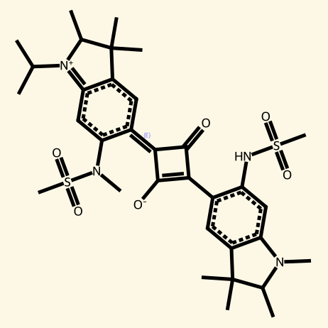 CC(C)[N+]1=c2cc(N(C)S(C)(=O)=O)/c(=C3/C(=O)C(c4cc5c(cc4NS(C)(=O)=O)N(C)C(C)C5(C)C)=C3[O-])cc2C(C)(C)C1C